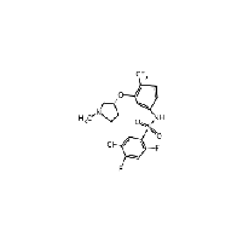 CN1CC[C@@H](Oc2cc(NS(=O)(=O)c3cc(Cl)c(F)cc3F)ccc2C(F)(F)F)C1